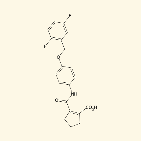 O=C(O)C1=C(C(=O)Nc2ccc(OCc3cc(F)ccc3F)cc2)CCC1